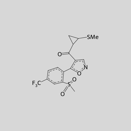 CSC1CC1C(=O)c1cnoc1-c1ccc(C(F)(F)F)cc1S(C)(=O)=O